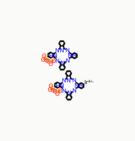 O=S(=O)([O-])c1ccc2c3nc4nc(nc5[nH]c(nc6nc(nc([nH]3)c2c1S(=O)(=O)[O-])-c1ccccc1-6)c1ccccc51)-c1ccccc1-4.O=S(=O)([O-])c1ccc2c3nc4nc(nc5[nH]c(nc6nc(nc([nH]3)c2c1S(=O)(=O)[O-])-c1ccccc1-6)c1ccccc51)-c1ccccc1-4.[Ir+4]